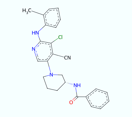 Cc1ccccc1Nc1ncc(N2CCC[C@@H](NC(=O)c3ccccc3)C2)c(C#N)c1Cl